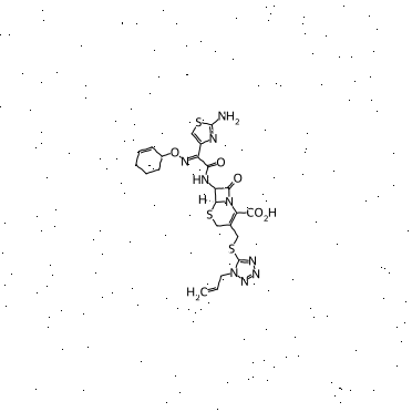 C=CCn1nnnc1SCC1=C(C(=O)O)N2C(=O)C(NC(=O)C(=NOC3C=CCCC3)c3csc(N)n3)[C@@H]2SC1